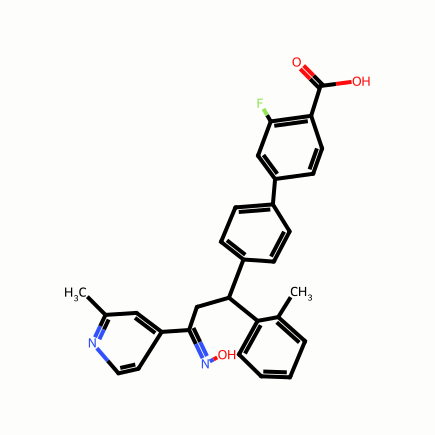 Cc1cc(/C(CC(c2ccc(-c3ccc(C(=O)O)c(F)c3)cc2)c2ccccc2C)=N/O)ccn1